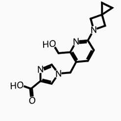 O=C(O)c1cn(Cc2ccc(N3CC4(CC4)C3)nc2CO)cn1